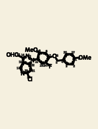 COc1ccc(COc2cc(OC)c(-n3nc(C=O)c4cnc(Cl)cc43)cc2F)cc1